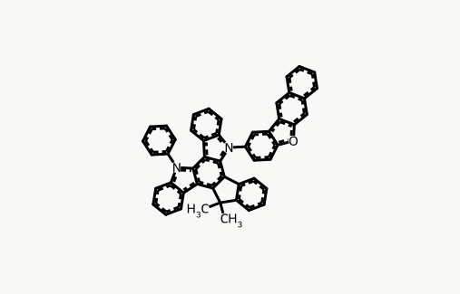 CC1(C)c2ccccc2-c2c1c1c3ccccc3n(-c3ccccc3)c1c1c3ccccc3n(-c3ccc4oc5cc6ccccc6cc5c4c3)c21